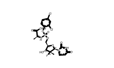 COC(=O)[C@H](C)NP(=O)(OC[C@H]1O[C@@H](n2ccc(=O)[nH]c2=O)[C@](C)(F)[C@@H]1O)Oc1ccc(Cl)cc1Cl